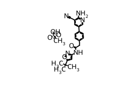 CC(C)(C)c1cc(NC(=O)Cc2ccc(-c3cnc(N)c(C#N)c3)cc2)no1.CS(=O)(=O)O